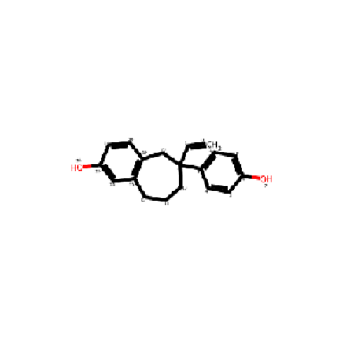 C=CC1(c2ccc(O)cc2)CCCc2cc(O)ccc2C1